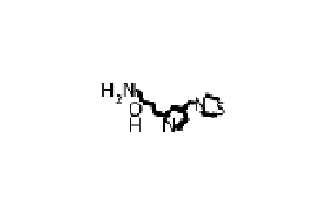 NCC(O)=CCc1cc(CN2CCSCC2)ccn1